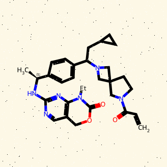 C=CC(=O)N1CCC2(C1)CN(C(CC1CC1)c1ccc([C@H](C)Nc3ncc4c(n3)N(CC)C(=O)OC4)cc1)C2